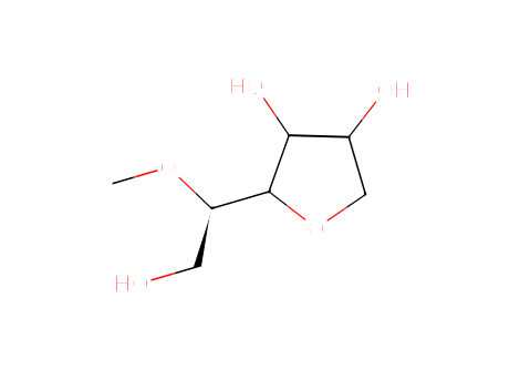 CO[C@H](CO)C1OCC(O)C1O